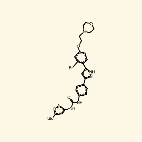 CC(C)(C)c1cc(NC(=O)Nc2ccc(-c3cc(-c4ccc(OCCN5CCOCC5)cc4Br)[nH]n3)cc2)no1